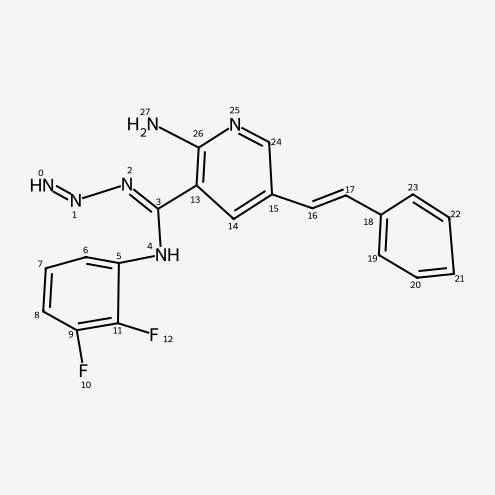 N=N/N=C(\Nc1cccc(F)c1F)c1cc(/C=C/c2ccccc2)cnc1N